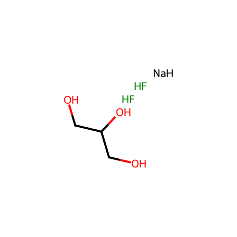 F.F.OCC(O)CO.[NaH]